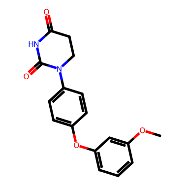 COc1cccc(Oc2ccc(N3CCC(=O)NC3=O)cc2)c1